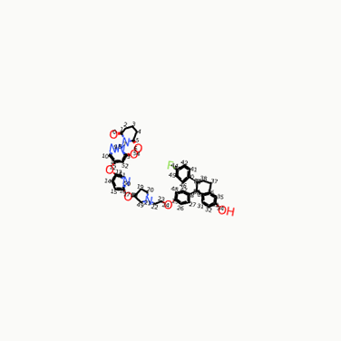 O=C1CCCC(=O)N1n1ncc(Oc2ccc(O[C@@H]3CCN(CCOc4ccc([C@@H]5c6ccc(O)cc6CC[C@@H]5c5ccc(F)cc5)cc4)C3)nc2)cc1=O